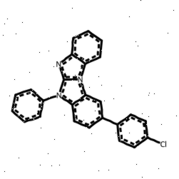 Clc1ccc(-c2ccc3c(c2)n2c4ccccc4nc2n3-c2ccccc2)cc1